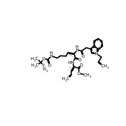 C=C/C=C(/NC(=O)/C(=C\CCCNC(=O)OC(C)(C)C)NC(=O)Cc1cn(CC=C)c2ccccc12)C(=O)OC